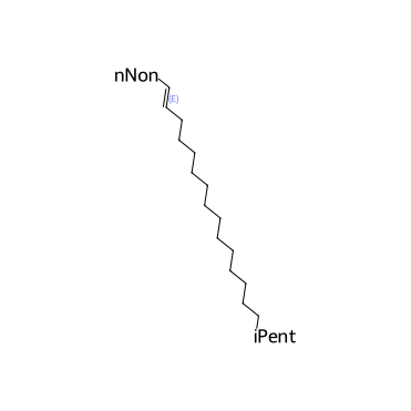 [CH2]CCCCCCCC/C=C/CCCCCCCCCCCCCC(C)CC[CH2]